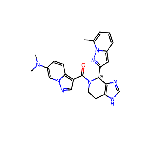 Cc1cccc2cc([C@H]3c4nc[nH]c4CCN3C(=O)c3cnn4cc(N(C)C)ccc34)nn12